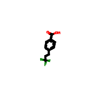 O=C(O)c1ccc(CCC(F)(F)F)cc1